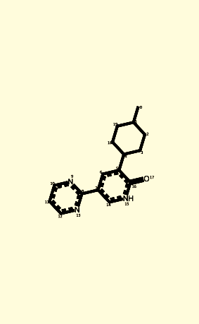 CC1CCC(c2cc(-c3ncccn3)c[nH]c2=O)CC1